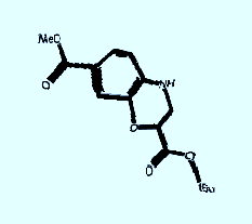 COC(=O)c1ccc2c(c1)OC(C(=O)OC(C)(C)C)CN2